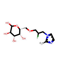 O=[N+]([O-])c1nccn1CC(F)COC[C@H]1OC(O)[C@H](O)[C@@H](O)[C@H]1O